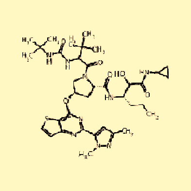 CCC[C@H](NC(=O)[C@@H]1C[C@@H](Oc2nc(-c3cc(C)nn3C)nc3ccsc23)CN1C(=O)C(NC(=O)NC(C)(C)C)C(C)(C)C)C(O)C(=O)NC1CC1